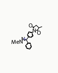 CN/N=C(\c1ccccc1)c1ccc(N2C(=O)CC(C)C2=O)cc1